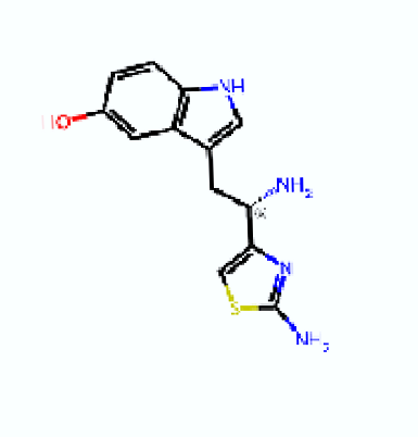 Nc1nc([C@@H](N)Cc2c[nH]c3ccc(O)cc23)cs1